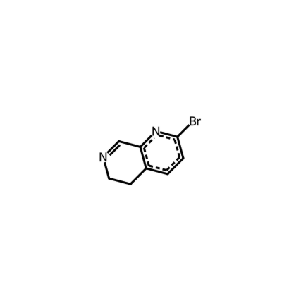 Brc1ccc2c(n1)C=NCC2